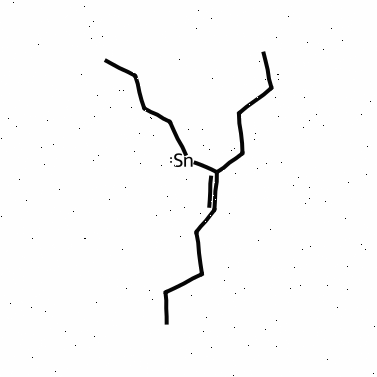 CCCCC=[C](CCCC)[Sn][CH2]CCC